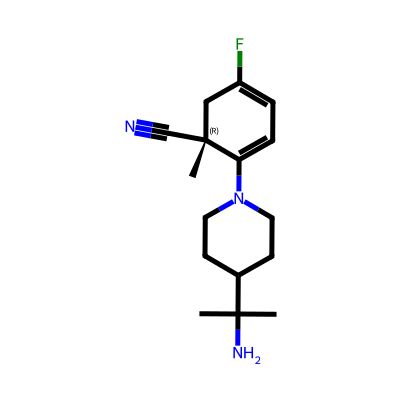 CC(C)(N)C1CCN(C2=CC=C(F)C[C@@]2(C)C#N)CC1